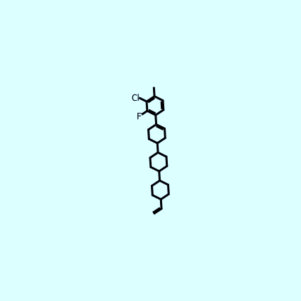 C=CC1CCC(C2CCC(C3CC=C(c4ccc(C)c(Cl)c4F)CC3)CC2)CC1